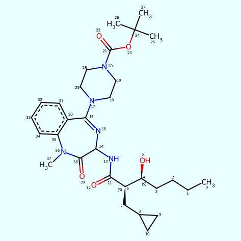 CCCC[C@H](O)[C@@H](CC1CC1)C(=O)NC1N=C(N2CCN(C(=O)OC(C)(C)C)CC2)c2ccccc2N(C)C1=O